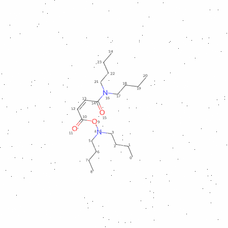 CCCCN(CCCC)OC(=O)/C=C\C(=O)N(CCCC)CCCC